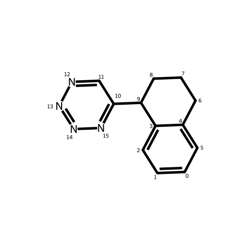 c1ccc2c(c1)CCCC2c1cnnnn1